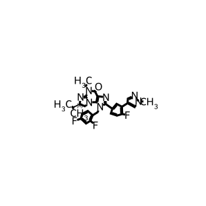 CCN1C(=O)c2nc(-c3ccc(F)c(-c4cnn(C)c4)c3)n(Cc3ccc(F)cc3F)c2N2C[C@@H](C(C)C)N=C12